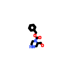 O=CC1CNCCN1C(=O)OCc1ccccc1